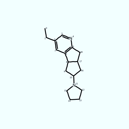 CCc1cnc2c(c1)C1CC(N3CCCC3)CC1C2